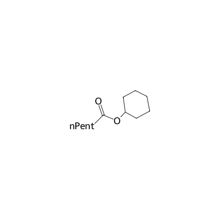 CCCCCC(=O)OC1CCCCC1